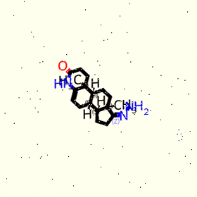 C[C@]12CCC(=O)NC1=CC[C@@H]1[C@@H]2CC[C@]2(C)/C(=N\N)CC[C@@H]12